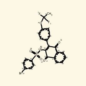 CC(F)(F)Oc1ccc(C2=C(NS(=O)(=O)c3ccc(Br)cc3)C(=O)c3ccccc3C2=O)cc1